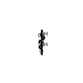 C=CCNC(=O)c1cccc(-c2ccnc(Nc3cccc(COCC=C)c3)n2)c1